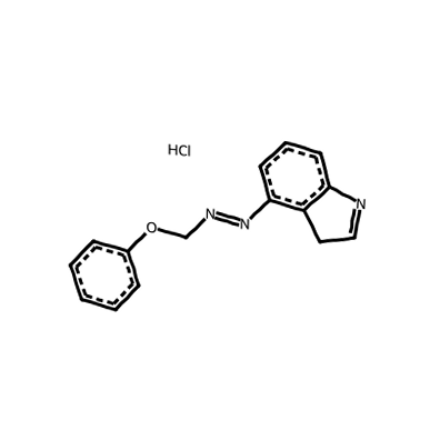 C1=Nc2cccc(N=NCOc3ccccc3)c2C1.Cl